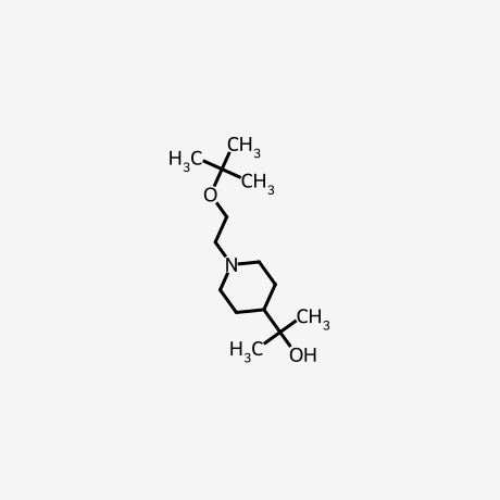 CC(C)(C)OCCN1CCC(C(C)(C)O)CC1